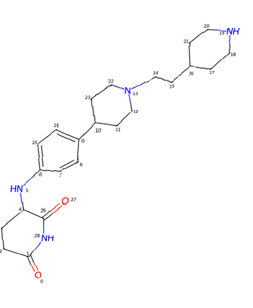 O=C1CCC(Nc2ccc(C3CCN(CCC4CCNCC4)CC3)cc2)C(=O)N1